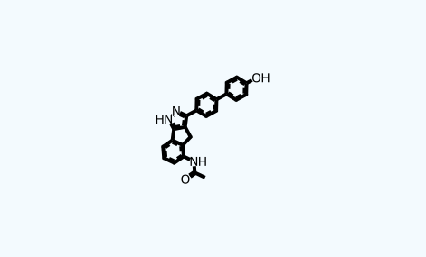 CC(=O)Nc1cccc2c1Cc1c(-c3ccc(-c4ccc(O)cc4)cc3)n[nH]c1-2